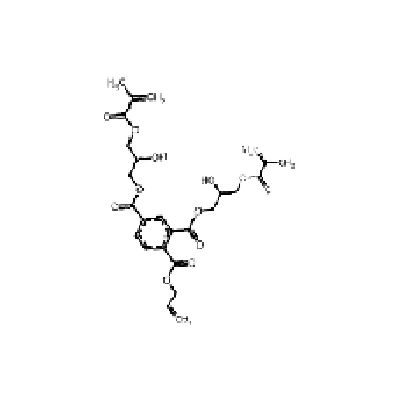 C=CCOC(=O)c1ccc(C(=O)OCC(O)COC(=O)C(=C)C)cc1C(=O)OCC(O)COC(=O)C(=C)C